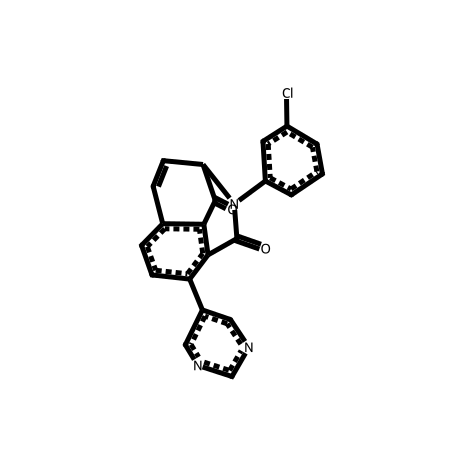 O=C1c2c3ccc(-c4cncnc4)c2C(=O)N(c2cccc(Cl)c2)C1C=C3